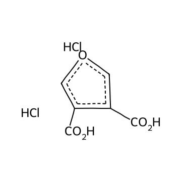 Cl.Cl.O=C(O)c1cocc1C(=O)O